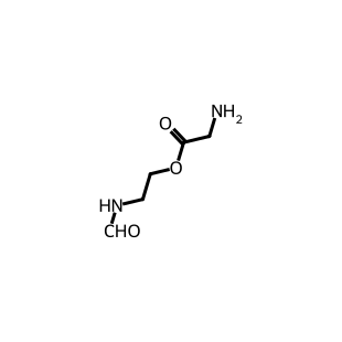 NCC(=O)OCCNC=O